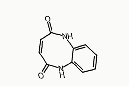 O=C1/C=C\C(=O)Nc2ccccc2N1